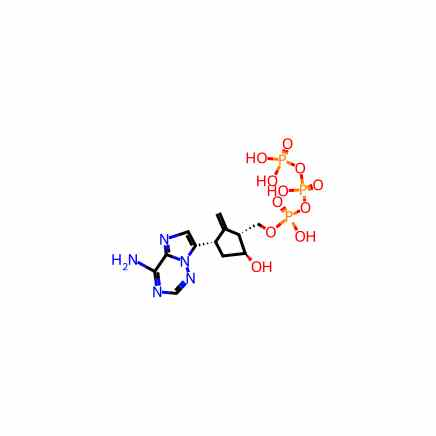 C=C1[C@@H](c2cnc3c(N)ncnn23)C[C@H](O)[C@H]1COP(=O)(O)OP(=O)(O)OP(=O)(O)O